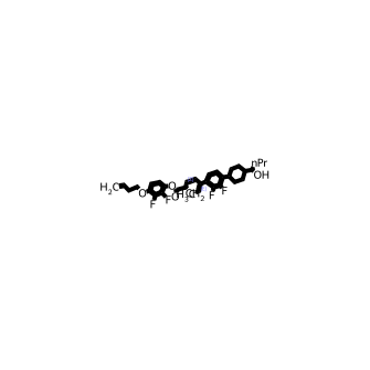 C=CCCOc1ccc(OC(=O)C(=C)/C=C\C(=C/C)c2ccc(C3CCC(C(O)CCC)CC3)c(F)c2F)c(F)c1F